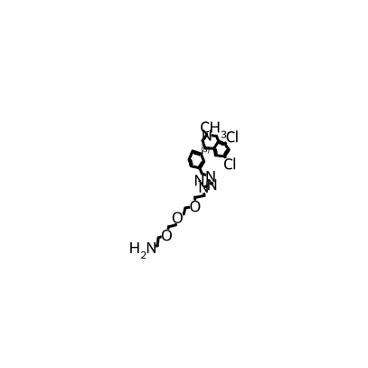 CN1Cc2c(Cl)cc(Cl)cc2[C@H](c2cccc(-c3nnn(CCOCCOCCOCCN)n3)c2)C1